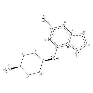 N[C@H]1CC[C@@H](Nc2nc(Cl)nc3cc[nH]c23)CC1